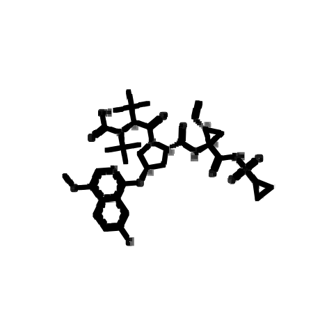 C=C[C@@H]1C[C@]1(NC(=O)[C@@H]1C[C@@H](Oc2ncc(OC)c3ccc(Cl)cc23)CN1C(=O)[C@@H](N(C(=O)O)C(C)(C)C)C(C)(C)C)C(=O)NS(=O)(=O)C1CC1